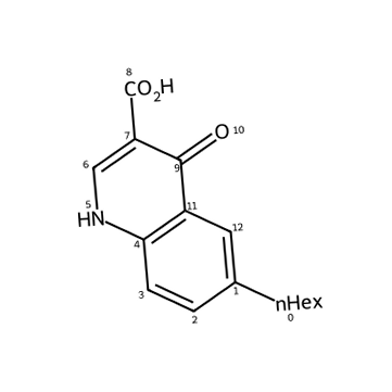 CCCCCCc1ccc2[nH]cc(C(=O)O)c(=O)c2c1